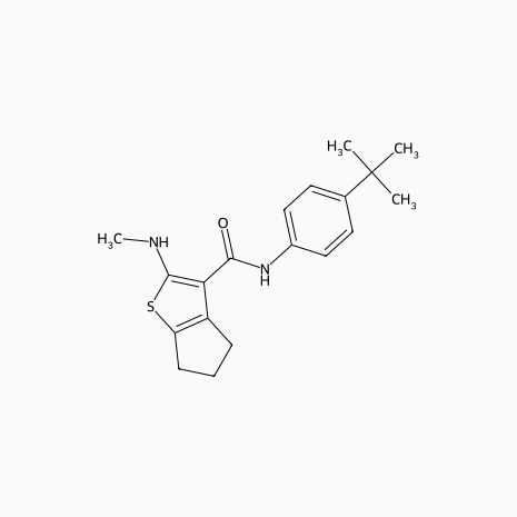 CNc1sc2c(c1C(=O)Nc1ccc(C(C)(C)C)cc1)CCC2